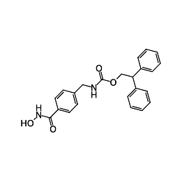 O=C(NCc1ccc(C(=O)NO)cc1)OCC(c1ccccc1)c1ccccc1